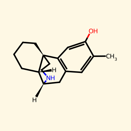 Cc1cc2c(cc1O)[C@@]13CCCC[C@H]1[C@@H](C2)NCC3